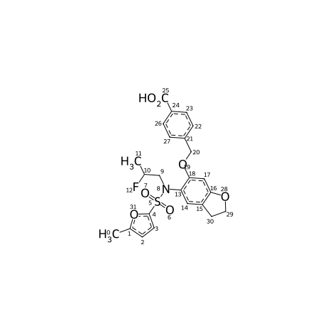 Cc1ccc(S(=O)(=O)N(CC(C)F)c2cc3c(cc2OCc2ccc(C(=O)O)cc2)OCC3)o1